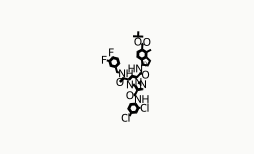 Cc1c(C(=O)OC(C)(C)C)ccc2c1CC[C@@H]2NC(=O)c1cc(C(=O)NCc2ccc(F)c(F)c2)nc2c(C(=O)Nc3ccc(Cl)cc3Cl)cnn12